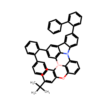 CC(C)(C)c1ccc2c(c1)Oc1cccc3c1B2c1cc(-c2ccccc2-c2ccccc2)cc2c4cc(-c5ccccc5-c5ccccc5)ccc4n-3c12